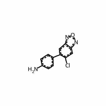 Nc1ccc(-c2cc3nonc3cc2Cl)cc1